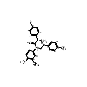 Cc1ccc(N(CCc2ccc(C(F)(F)F)cc2)C(=O)[C@H](N)c2ccc(F)cc2)cc1C